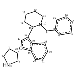 C1CCNC1.c1ccc(CN2CCCCC2c2coc3ccccc23)cc1